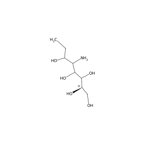 CCC(O)C(N)C(O)C(O)[C@H](O)CO